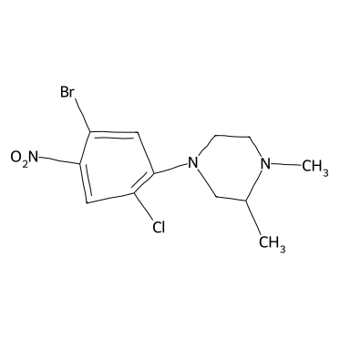 CC1CN(c2cc(Br)c([N+](=O)[O-])cc2Cl)CCN1C